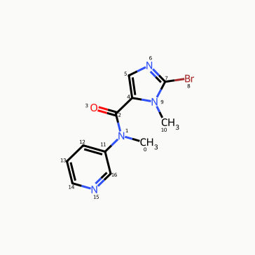 CN(C(=O)c1cnc(Br)n1C)c1cccnc1